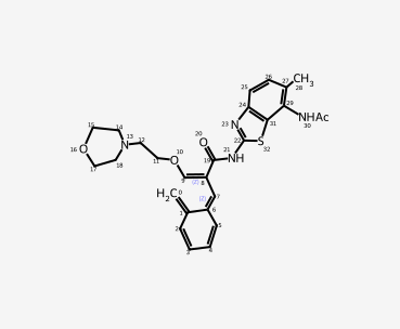 C=c1cccc/c1=C/C(=C/OCCN1CCOCC1)C(=O)Nc1nc2ccc(C)c(NC(C)=O)c2s1